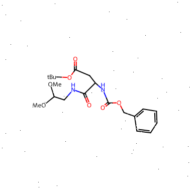 COC(CNC(=O)C(CC(=O)OC(C)(C)C)NC(=O)OCc1ccccc1)OC